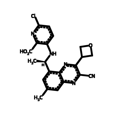 Cc1cc([C@@H](C)Nc2ccc(Cl)nc2C(=O)O)c2nc(C3COC3)c(C#N)nc2c1